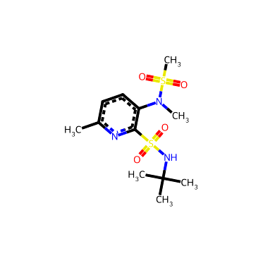 Cc1ccc(N(C)S(C)(=O)=O)c(S(=O)(=O)NC(C)(C)C)n1